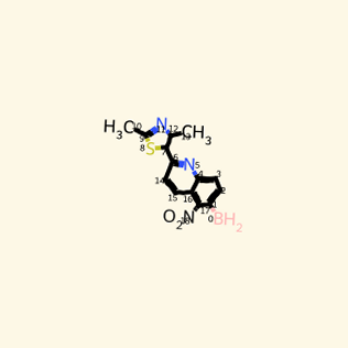 Bc1ccc2nc(C3SC(C)=NC3C)ccc2c1[N+](=O)[O-]